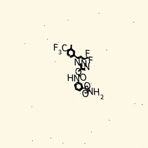 Cc1cc(-c2cc(C(F)F)n3ncc(OC(=O)Nc4cccc(S(N)(=O)=O)c4)c3n2)ccc1C(F)(F)F